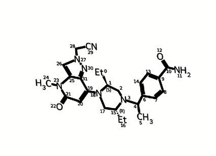 CC[C@H]1CN(C(C)c2ccc(C(N)=O)cc2)[C@H](CC)CN1c1cc(=O)n(C)c2cn(CC#N)nc12